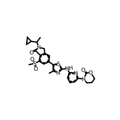 Cc1nc(Nc2cccc(N3CCCOC3=O)n2)sc1-c1cc2c(c(S(C)(=O)=O)c1)C(=O)N(C(C)C1CC1)C2